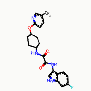 O=C(Nc1c[nH]c2cc(F)ccc12)C(=O)NC1CCC(Oc2ccc(C(F)(F)F)cn2)CC1